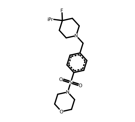 CC(C)C1(F)CCN(Cc2ccc(S(=O)(=O)N3CCOCC3)cc2)CC1